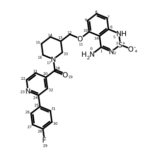 NC1=N[S+]([O-])Nc2cccc(OCC3CCCN(C(=O)c4ccnc(-c5ccc(F)cc5)c4)C3)c21